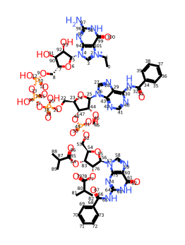 CC[n+]1cn([C@@H]2O[C@H](COP(=O)(O)OP(=O)(O)OP(=O)(O)OC[C@H]3O[C@@H](n4cnc5c(NC(=O)c6ccccc6)ncnc54)[C@H](OC)[C@@H]3OP(=O)(O)OC[C@H]3O[C@@H](n4cnc5c(=O)[nH]c(NC(=O)c6ccccc6)nc54)[C@H](OC(=O)C(C)C)[C@@H]3OC(=O)C(C)C)[C@@H](O)[C@H]2O)c2nc(N)[nH]c(=O)c21